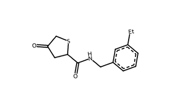 CCc1cccc(CNC(=O)C2CC(=O)CS2)c1